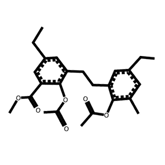 CCc1cc(C)c(OC(C)=O)c(CCc2cc(CC)cc(C(=O)OC)c2OC(C)=O)c1